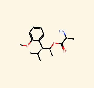 COc1ccccc1[C@H](C(C)C)[C@H](C)OC(=O)[C@H](C)N